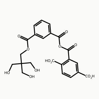 O=C(O)c1ccc(C(=O)O)c(C(=O)OC(=O)c2cccc(C(=O)OCC(CO)(CO)CO)c2)c1